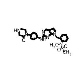 CN(c1ccccc1Cn1ccc2cnc(Nc3ccc(N4CCNCC4=O)cc3)nc21)S(C)(=O)=O